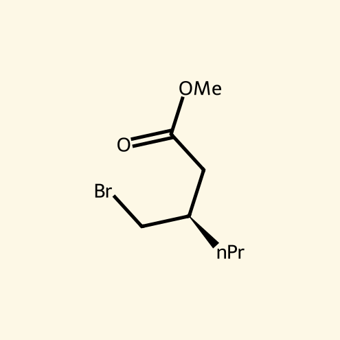 CCC[C@@H](CBr)CC(=O)OC